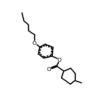 CCCCCOc1ccc(OC(=O)C2CCC(C)CC2)cc1